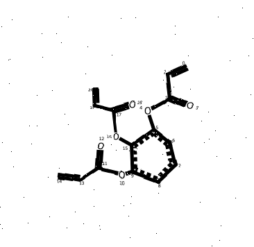 C=CC(=O)Oc1cccc(OC(=O)C=C)c1OC(=O)C=C